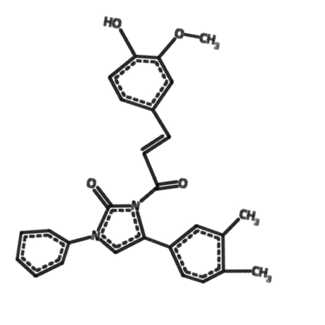 COc1cc(C=CC(=O)n2c(-c3ccc(C)c(C)c3)cn(-c3ccccc3)c2=O)ccc1O